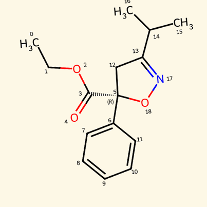 CCOC(=O)[C@]1(c2ccccc2)CC(C(C)C)=NO1